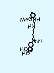 CCCN(CCCCCCNCCNc1ccccc1OC)C1CCc2c(ccc(O)c2O)C1